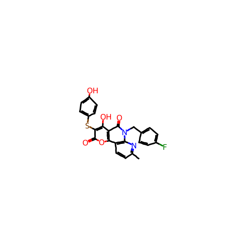 Cc1ccc2c3oc(=O)c(Sc4ccc(O)cc4)c(O)c3c(=O)n(Cc3ccc(F)cc3)c2n1